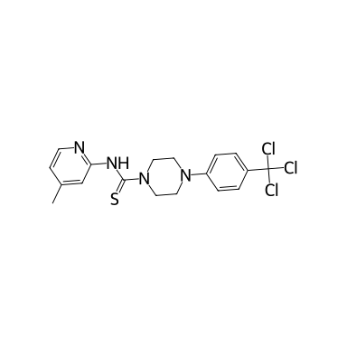 Cc1ccnc(NC(=S)N2CCN(c3ccc(C(Cl)(Cl)Cl)cc3)CC2)c1